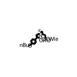 CCCCOc1ccc(-c2cc3scc(CC(=O)OC)n3c2C=O)cc1